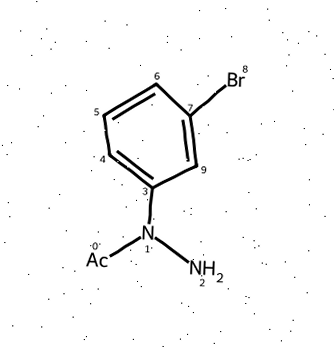 CC(=O)N(N)c1cccc(Br)c1